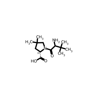 CC1(C)C[C@@H](C(=O)O)N(C(=O)C(N)C(C)(C)C)C1